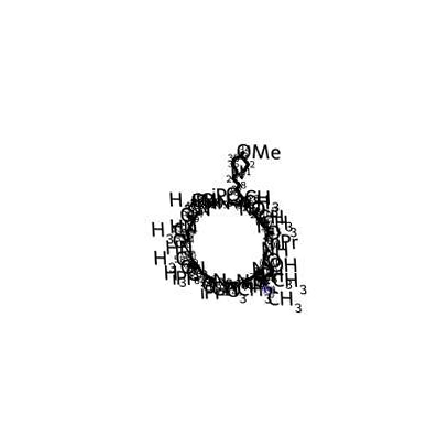 C/C=C/C[C@@H](C)[C@@H](O)[C@H]1C(=O)N[C@@H](CCC)C(=O)N(C)[C@H](C)C(=O)N(C)[C@@H]([C@H](C)CCCN2CCC(OC)CC2)C(=O)N[C@@H](C(C)C)C(=O)N(C)[C@@H](CC(C)C)C(=O)N[C@@H](C)C(=O)N[C@H](C)C(=O)N(C)[C@@H](CC(C)C)C(=O)N(C)[C@@H](CC(C)C)C(=O)N(C)[C@@H](C(C)C)C(=O)N1C